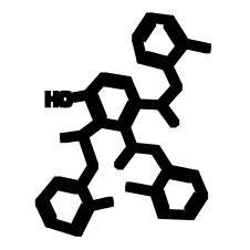 Cc1ccccc1CC(C)c1ccc(O)c(C(C)Cc2ccccc2C)c1C(C)Cc1ccccc1C